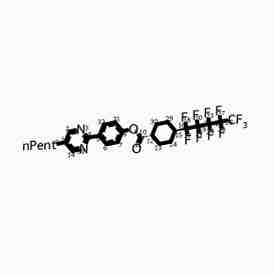 CCCCCc1cnc(-c2ccc(OC(=O)[C@H]3CC[C@H](C(F)(F)C(F)(F)C(F)(F)C(F)(F)C(F)(F)F)CC3)cc2)nc1